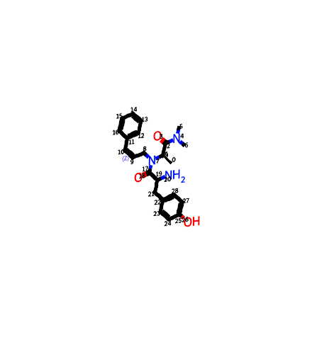 C[C@H](C(=O)N(C)C)N(C/C=C\c1ccccc1)C(=O)C(N)Cc1ccc(O)cc1